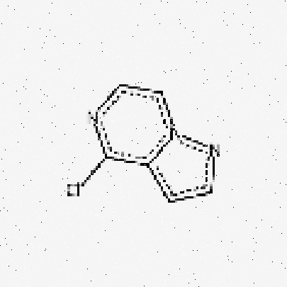 Clc1nccn2nccc12